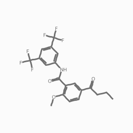 CCCC(=O)c1ccc(OC)c(C(=O)Nc2cc(C(F)(F)F)cc(C(F)(F)F)c2)c1